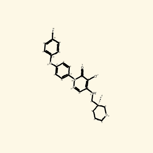 O=c1c(Cl)c(NC[C@]2(F)CCCOC2)cnn1-c1ccc(Oc2ccc(F)cc2)cc1